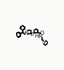 O=C(NCCN1CCCCC1)c1cccc(OC2CCCN(CC(c3ccccc3)c3ccccc3)C2)c1